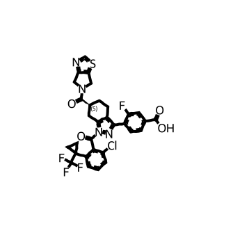 O=C(O)c1ccc(-c2nn(C(=O)c3c(Cl)cccc3C3(C(F)(F)F)CC3)c3c2CC[C@H](C(=O)N2Cc4ncsc4C2)C3)c(F)c1